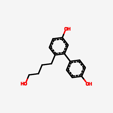 OCCCCc1ccc(O)cc1-c1ccc(O)cc1